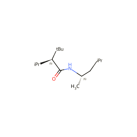 CC(C)C[C@H](C)NC(=O)[C@@H](C(C)C)C(C)(C)C